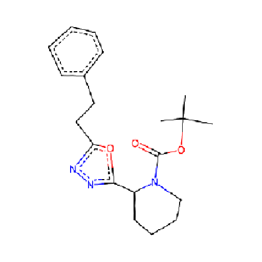 CC(C)(C)OC(=O)N1CCCCC1c1nnc(CCc2ccccc2)o1